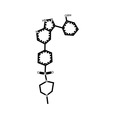 COc1ccccc1-c1n[nH]c2ncc(-c3ccc(S(=O)(=O)N4CCN(C)CC4)cc3)cc12